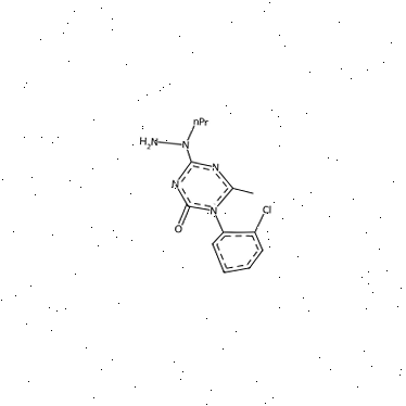 CCCN(N)c1nc(C)n(-c2ccccc2Cl)c(=O)n1